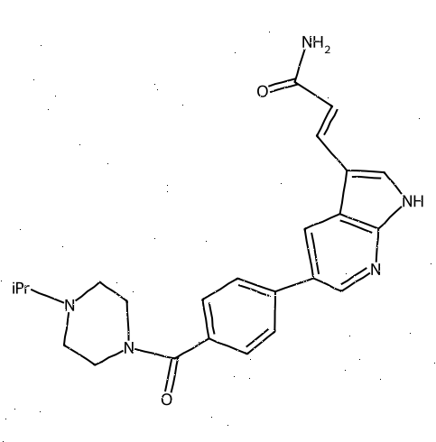 CC(C)N1CCN(C(=O)c2ccc(-c3cnc4[nH]cc(/C=C/C(N)=O)c4c3)cc2)CC1